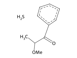 COC(C)C(=O)c1ccccc1.S